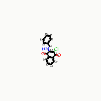 O=C1C(Cl)=C(NCc2ccccc2)C(=O)c2ccccc21